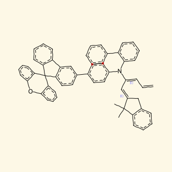 C=C/C=C(\C=C1/Cc2ccccc2C1(C)C)N(c1ccc(-c2ccc3c(c2)-c2ccccc2C32c3ccccc3Oc3ccccc32)cc1)c1ccccc1-c1ccccc1